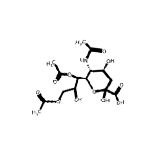 CC(=O)N[C@@H]1[C@@H](O)CC(O)(C(=O)O)O[C@H]1C(OC(C)=O)C(O)COC(C)=O